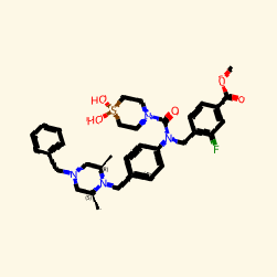 COC(=O)c1ccc(CN(C(=O)N2CCS(O)(O)CC2)c2ccc(CN3[C@H](C)CN(Cc4ccccc4)C[C@@H]3C)cc2)c(F)c1